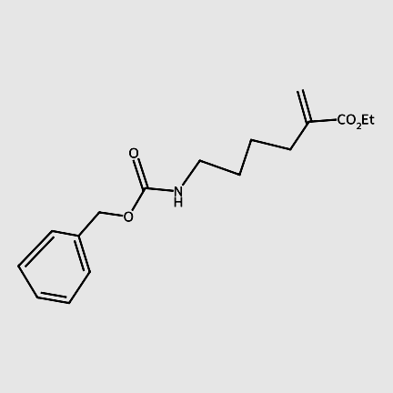 C=C(CCCCNC(=O)OCc1ccccc1)C(=O)OCC